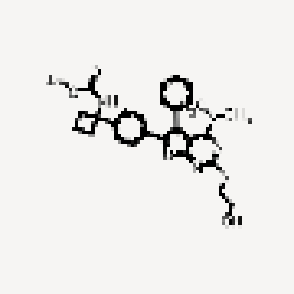 CN(C)c1nc(NCCO)nc2oc(-c3ccc(C4(NC(=O)OC(C)(C)C)CCC4)cc3)c(-c3ccccc3)c12